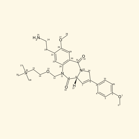 COc1ccc(C2=C[C@@H]3C(=O)N(COCC[Si](C)(C)C)c4cc(CCN)c(OC)cc4C(=O)N3C2)cc1